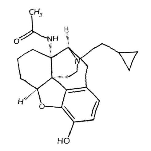 CC(=O)N[C@@]12CCC[C@@H]3Oc4c(O)ccc5c4[C@@]31CCN(CC1CC1)[C@@H]2C5